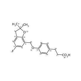 CC1(C)Cc2cc(F)cc(COc3ccc(CCC(=O)O)cc3)c2O1